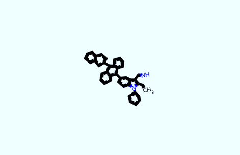 C=Cc1c(C=N)c2cc(-c3c4ccccc4c(-c4ccc5ccccc5c4)c4ccccc34)ccc2n1-c1ccccc1